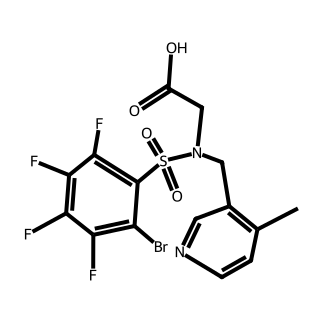 Cc1ccncc1CN(CC(=O)O)S(=O)(=O)c1c(F)c(F)c(F)c(F)c1Br